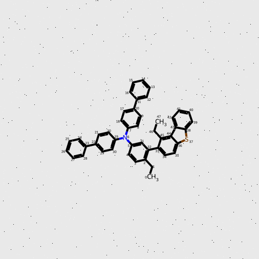 CCc1ccc(N(c2ccc(-c3ccccc3)cc2)c2ccc(-c3ccccc3)cc2)cc1-c1ccc2sc3ccccc3c2c1CC